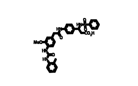 COc1cc(CC(=O)Nc2ccc(C(CC(=O)O)NS(=O)(=O)c3ccccc3)cc2)ccc1NC(=O)Nc1ccccc1C